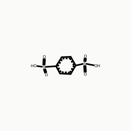 O=S(=O)(O)c1[c]cc(S(=O)(=O)O)cc1